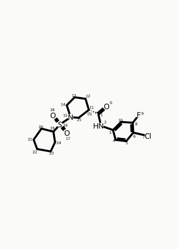 O=C(Nc1ccc(Cl)c(F)c1)[C@H]1CCCN(S(=O)(=O)C2CCCCC2)C1